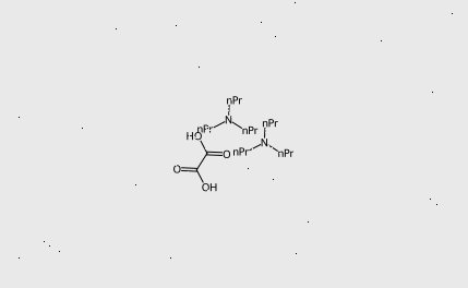 CCCN(CCC)CCC.CCCN(CCC)CCC.O=C(O)C(=O)O